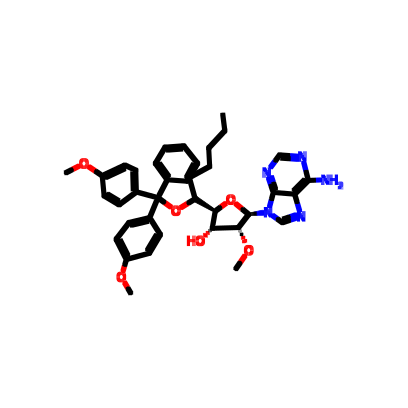 CCCCCC(OC(c1ccccc1)(c1ccc(OC)cc1)c1ccc(OC)cc1)[C@H]1O[C@@H](n2cnc3c(N)ncnc32)[C@H](OC)[C@@H]1O